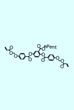 C=CC(=O)OCOc1ccc(C(=O)Oc2ccc(OC(=O)c3ccc(OCOC(=O)C=C)cc3)c(C(=O)OCCCCC)c2)cc1